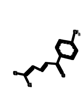 O=C(C=CC=C(Cl)Cl)c1ccc(C(F)(F)F)cc1